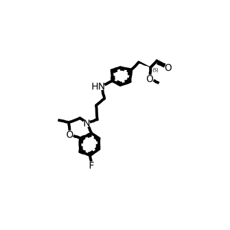 CO[C@H](C=O)Cc1ccc(NCCCN2CC(C)Oc3cc(F)ccc32)cc1